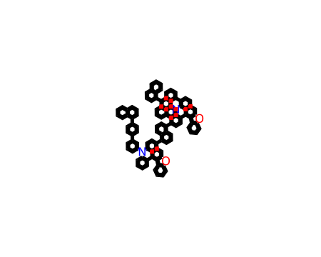 c1cc(-c2ccc(-c3cccc4ccccc34)cc2)cc(N(c2ccc(-c3cccc4c(-c5ccc(-c6cccc7oc8ccccc8c67)c(N(c6ccc(-c7cccc8ccccc78)cc6)c6ccccc6-c6ccccc6-c6cccc7ccccc67)c5)cccc34)cc2)c2ccccc2-c2cccc3oc4ccccc4c23)c1